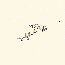 CCOC(=O)CCNC(=O)NCC#Cc1ccc([C@H]2C[C@@]3(C)[C@@H](CC[C@@]3(O)C(F)(F)C(F)(F)F)[C@@H]3CCC4=CC(=O)CCC4=C32)cc1